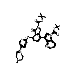 CN1CCN(c2ccc(Nc3ccc(-c4cn(C(=O)OC(C)(C)C)c5cccnc45)c4c3C(=O)N(C(=O)OC(C)(C)C)C4)nc2)CC1